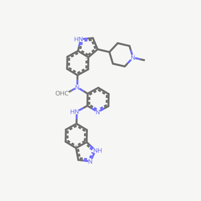 CN1CCC(c2c[nH]c3ccc(N(C=O)c4cccnc4Nc4ccc5cn[nH]c5c4)cc23)CC1